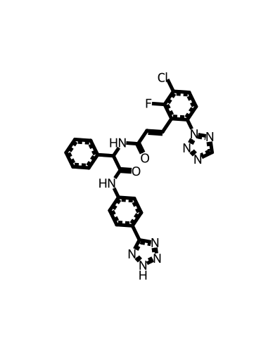 O=C(C=Cc1c(-n2ncnn2)ccc(Cl)c1F)NC(C(=O)Nc1ccc(-c2nn[nH]n2)cc1)c1ccccc1